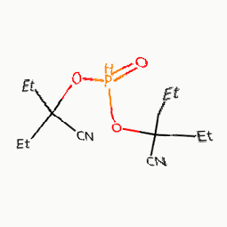 CCC(C#N)(CC)O[PH](=O)OC(C#N)(CC)CC